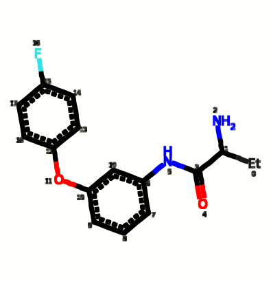 CCC(N)C(=O)Nc1cccc(Oc2ccc(F)cc2)c1